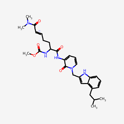 COC(=O)NC(CC/C=C/C(=O)N(C)C)C(=O)Nc1cccn(Cc2cc3c(CC(C)C)cccc3[nH]2)c1=O